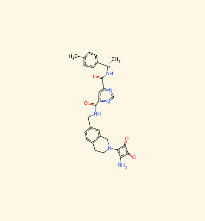 Cc1ccc([C@H](C)NC(=O)c2cc(C(=O)NCc3ccc4c(c3)CN(c3c(N)c(=O)c3=O)CC4)ncn2)cc1